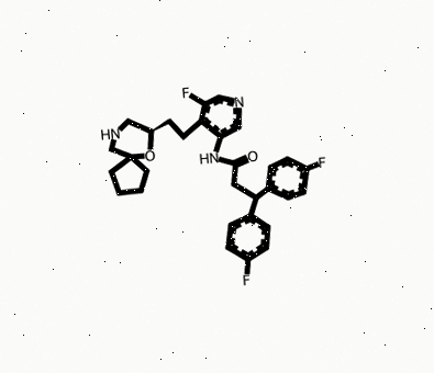 O=C(CC(c1ccc(F)cc1)c1ccc(F)cc1)Nc1cncc(F)c1CC[C@@H]1CNCC2(CCCC2)O1